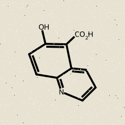 O=C(O)c1c(O)ccc2ncccc12